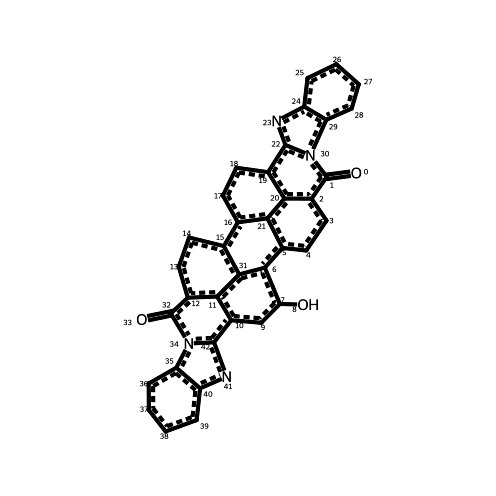 O=c1c2ccc3c4c(O)cc5c6c(ccc(c7ccc(c2c73)c2nc3ccccc3n12)c46)c(=O)n1c2ccccc2nc51